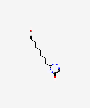 Cl.O=C=CCCCCCCc1nncc(=O)[nH]1